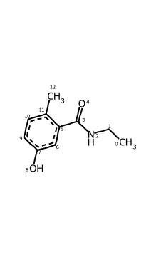 CCNC(=O)c1cc(O)ccc1C